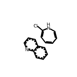 ClC1=CC=CC=CN1.c1ccc2ncccc2c1